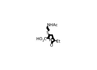 CC[C@H]1C(=O)N2C(C(=O)O)=C(S/C=C/NC(C)=O)CC12